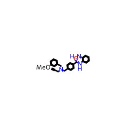 C#CCN(Cc1ccc(C(=O)Nc2ccccc2N)cc1)Cc1cccc(OC)c1